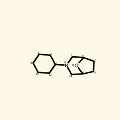 C1CCC(N2CC3CCC(C2)O3)CC1